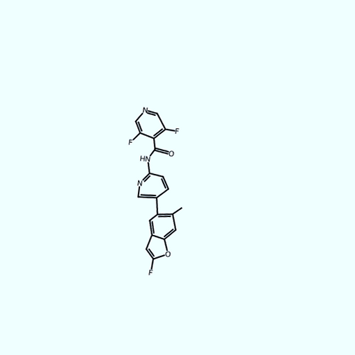 Cc1cc2oc(F)cc2cc1-c1ccc(NC(=O)c2c(F)cncc2F)nc1